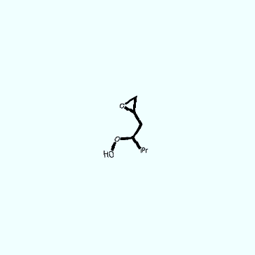 CC(C)C(CC1CO1)OO